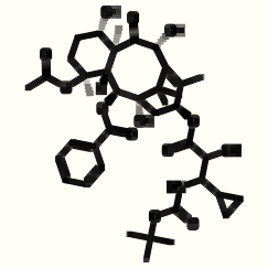 CC(=O)O[C@@]1(C)CC[C@H](O)[C@@]2(C)C(=O)[C@H](O)C3=C(C)[C@@H](OC(=O)C(O)C(NC(=O)OC(C)(C)C)C4CC4)C[C@@](O)([C@@H](OC(=O)c4ccccc4)[C@@H]21)C3(C)C